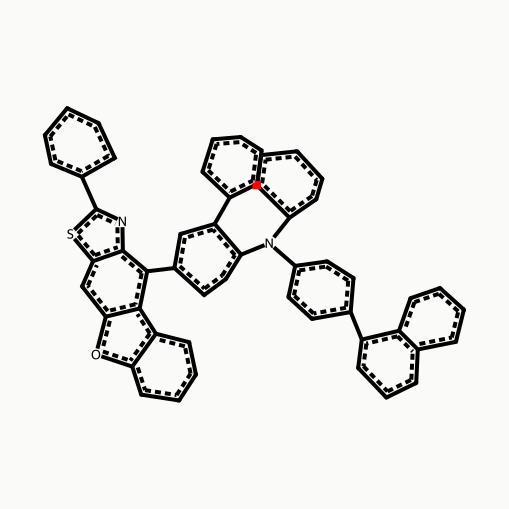 c1ccc(-c2nc3c(-c4ccc(N(c5ccccc5)c5ccc(-c6cccc7ccccc67)cc5)c(-c5ccccc5)c4)c4c(cc3s2)oc2ccccc24)cc1